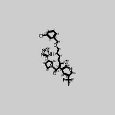 Cn1c(CCCCOCc2cccc(Cl)c2)c(C(=O)N2CC[C@H](c3nnn[nH]3)C2)c2cc(C(F)(F)F)cnc21